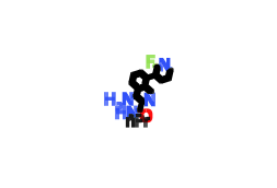 CCCNC(=O)c1ncc2c(-c3cccnc3F)cccc2c1N